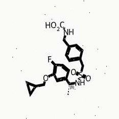 C[C@@H](NS(=O)(=O)Cc1ccc(CNC(=O)O)cc1)c1ccc(F)c(OCC2CC2)c1